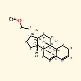 CCOCC[C@H]1CC[C@H]2[C@@H]3CC=C4C=CCC[C@]4(C)[C@H]3CC[C@]12C